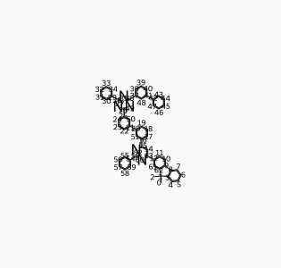 CC1(C)c2ccccc2-c2ccc(-c3cc(-c4cccc(-c5cccc(-c6nc(-c7ccccc7)nc(-c7cccc(-c8ccccc8)c7)n6)c5)c4)nc(-c4ccccc4)n3)cc21